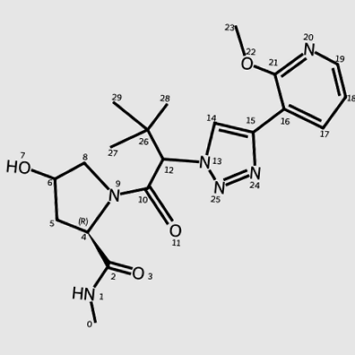 CNC(=O)[C@H]1CC(O)CN1C(=O)C(n1cc(-c2cccnc2OC)nn1)C(C)(C)C